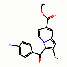 CCc1cc2cc(C(=O)OC(C)C)ccn2c1C(=O)c1ccc(I)cc1